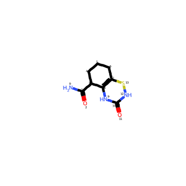 NC(=O)C1CCCC2=C1NC(=O)NS2